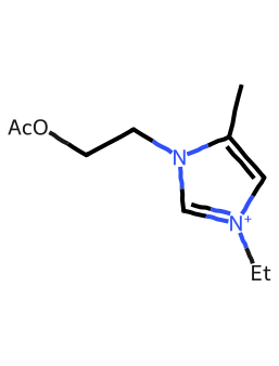 CC[n+]1cc(C)n(CCOC(C)=O)c1